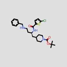 CC(C)(C)OC(=O)N1CCC(C[C@@H](CCNCc2ccccc2)NC(=O)c2ccc(Cl)s2)CC1